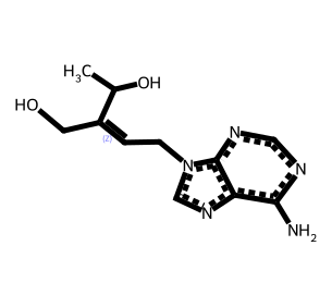 CC(O)/C(=C\Cn1cnc2c(N)ncnc21)CO